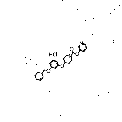 Cl.O=C(Oc1cccnc1)N1CCC(Oc2cccc(OCC3CCCCC3)c2)CC1